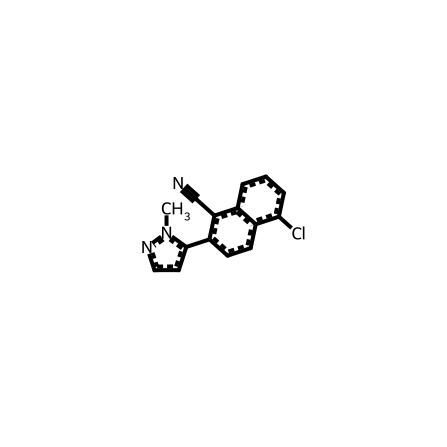 Cn1nccc1-c1ccc2c(Cl)cccc2c1C#N